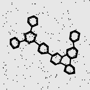 C1=CC(c2ccc(-c3nc(-c4ccccc4)nc(-c4ccccc4)n3)cc2)=CN2B1c1ccccc1-c1ccc(-c3ccccc3)cc12